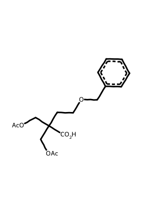 CC(=O)OCC(CCOCc1ccccc1)(COC(C)=O)C(=O)O